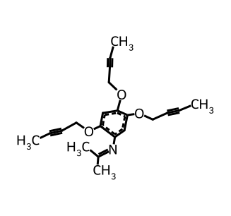 CC#CCOc1cc(OCC#CC)c(OCC#CC)cc1N=C(C)C